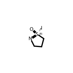 O=[S@]1(I)=NCCC1